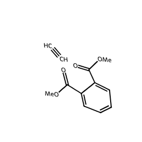 C#C.COC(=O)c1ccccc1C(=O)OC